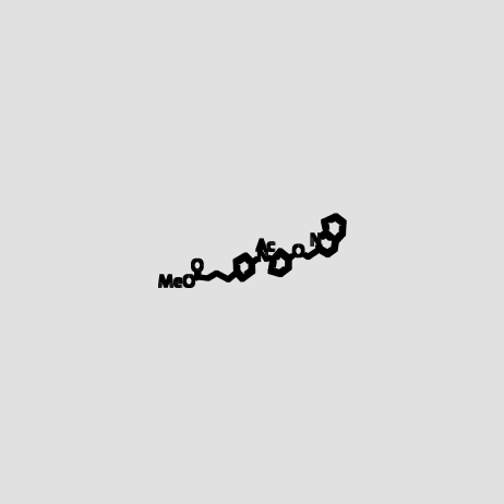 COC(=O)CCCc1ccc(N(C(C)=O)c2cccc(OCc3ccc4ccccc4n3)c2)cc1